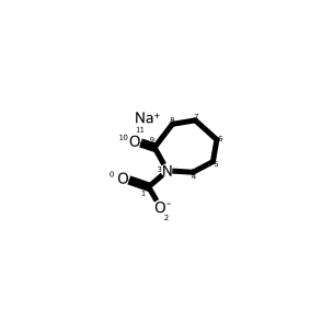 O=C([O-])N1CCCCCC1=O.[Na+]